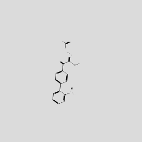 CC/C(=N/OC(C)=O)C(=O)c1ccc(-c2ccccc2[N+](=O)[O-])cc1